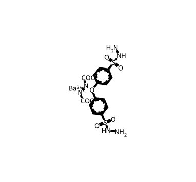 NNS(=O)(=O)c1ccc(Oc2ccc(S(=O)(=O)NN)cc2)cc1.O=C([O-])N=NC(=O)[O-].[Ba+2]